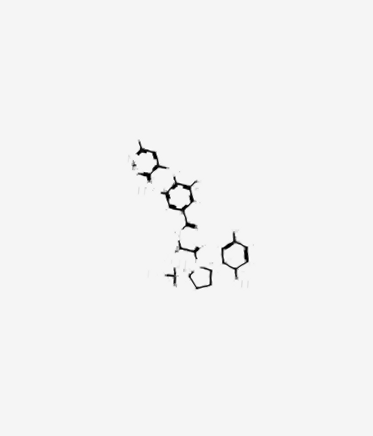 Cc1cc(Oc2c(C)cc(C(=O)N[C@H](C)C(=O)N3[C@H](C4C=C(Cl)C=CC4C)CC[C@@H]3C(C)(C)O)cc2F)c(=O)[nH]n1